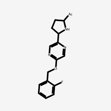 CC(=O)C1CCC(c2cnc(OCc3ccccc3F)cn2)N1